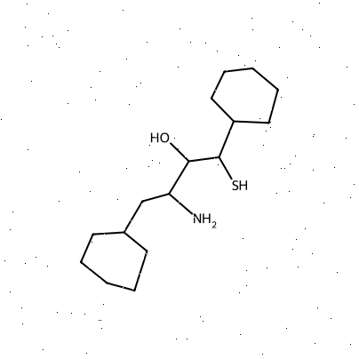 NC(CC1CCCCC1)C(O)C(S)C1CCCCC1